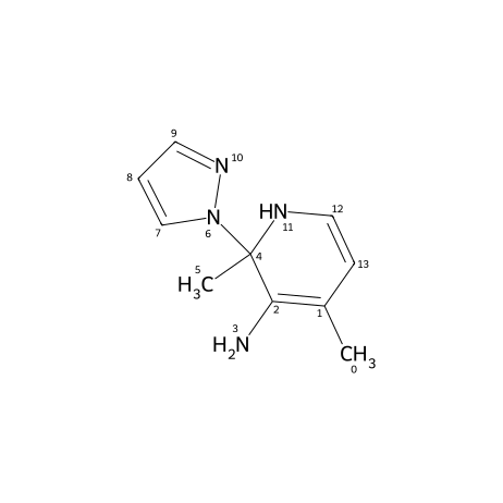 CC1=C(N)C(C)(n2cccn2)NC=C1